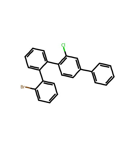 Clc1cc(-c2ccccc2)ccc1-c1ccccc1-c1ccccc1Br